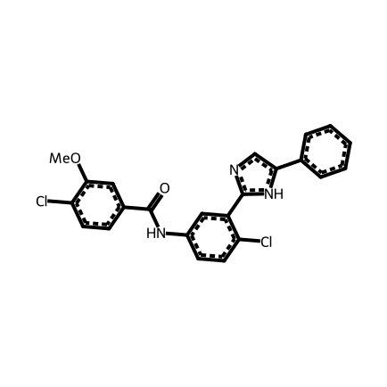 COc1cc(C(=O)Nc2ccc(Cl)c(-c3ncc(-c4ccccc4)[nH]3)c2)ccc1Cl